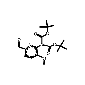 COc1ccc(C=O)nc1N(C(=O)OC(C)(C)C)C(=O)OC(C)(C)C